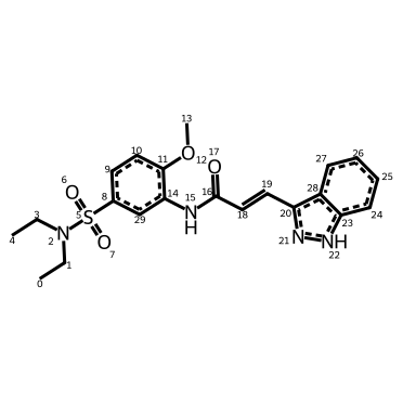 CCN(CC)S(=O)(=O)c1ccc(OC)c(NC(=O)C=Cc2n[nH]c3ccccc23)c1